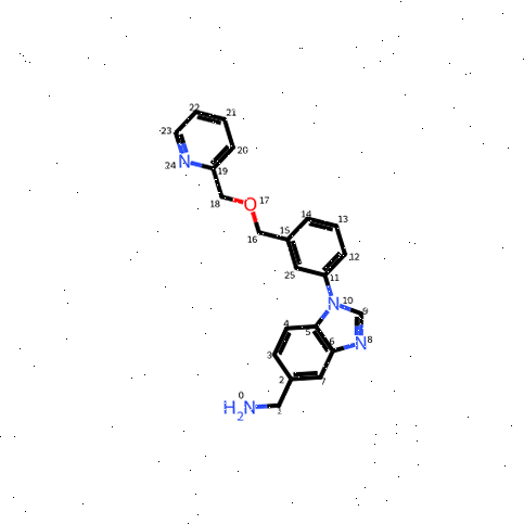 NCc1ccc2c(c1)ncn2-c1cccc(COCc2ccccn2)c1